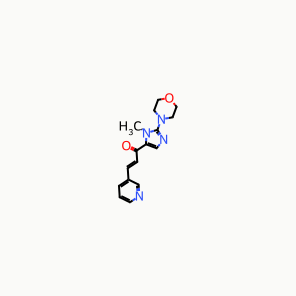 Cn1c(C(=O)/C=C/c2cccnc2)cnc1N1CCOCC1